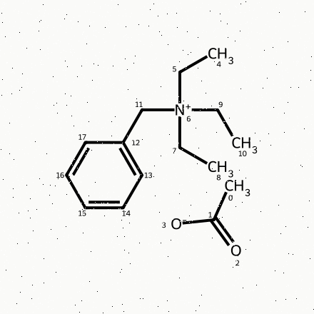 CC(=O)[O-].CC[N+](CC)(CC)Cc1ccccc1